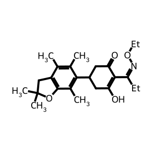 CCO/N=C(/CC)C1=C(O)CC(c2c(C)c(C)c3c(c2C)OC(C)(C)C3)CC1=O